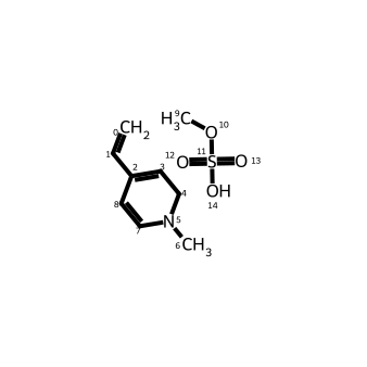 C=CC1=CCN(C)C=C1.COS(=O)(=O)O